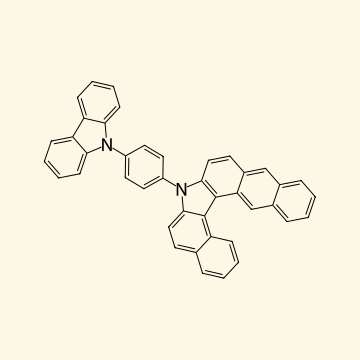 c1ccc2cc3c(ccc4c3c3c5ccccc5ccc3n4-c3ccc(-n4c5ccccc5c5ccccc54)cc3)cc2c1